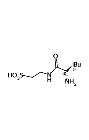 CC[C@H](C)[C@H](N)C(=O)NCCS(=O)(=O)O